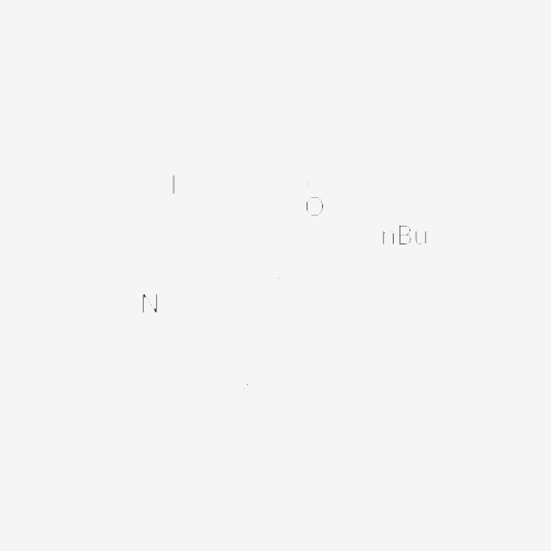 CCCCOc1cccnc1I